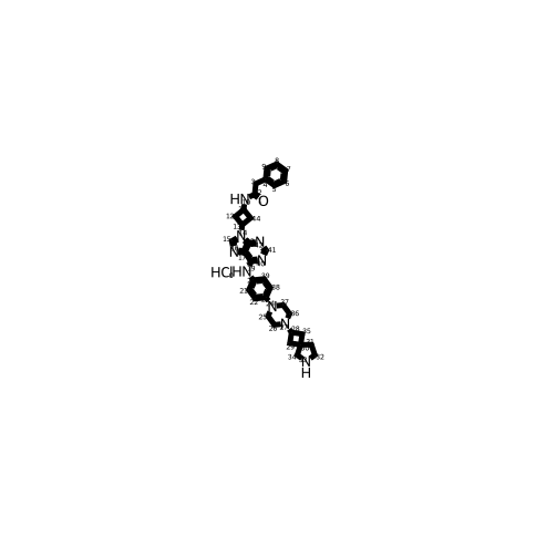 Cl.O=C(Cc1ccccc1)NC1CC(n2cnc3c(Nc4ccc(N5CCN(C6CC7(CCNC7)C6)CC5)cc4)ncnc32)C1